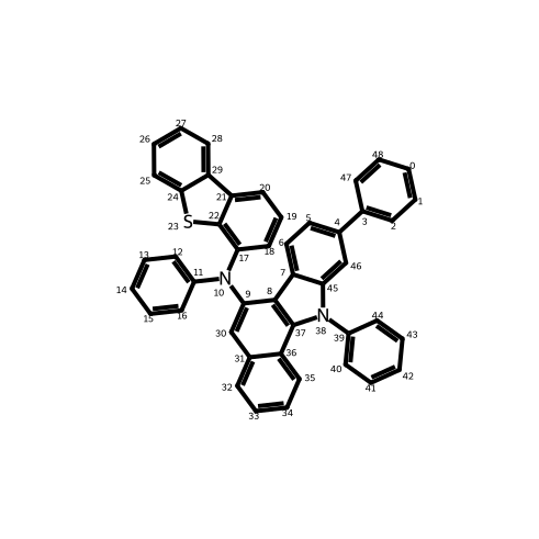 c1ccc(-c2ccc3c4c(N(c5ccccc5)c5cccc6c5sc5ccccc56)cc5ccccc5c4n(-c4ccccc4)c3c2)cc1